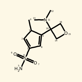 CC1C=C(S(N)(=O)=O)C=C1C1(N(C)C)COC1